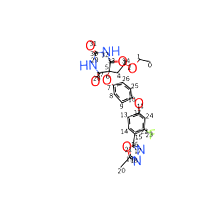 CCOCCC1(Oc2ccc(Oc3ccc(-c4nnc(C)o4)c(F)c3)cc2)C(=O)NC(=O)NC1=O